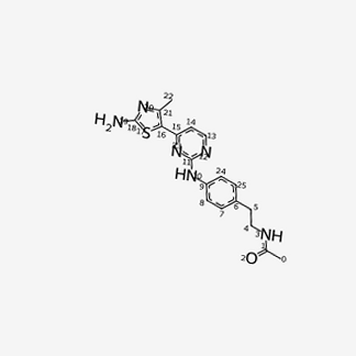 CC(=O)NCCc1ccc(Nc2nccc(-c3sc(N)nc3C)n2)cc1